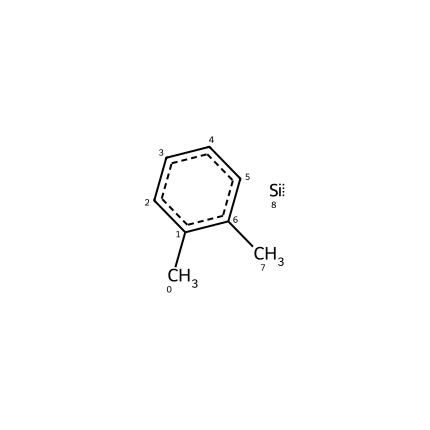 Cc1ccccc1C.[Si]